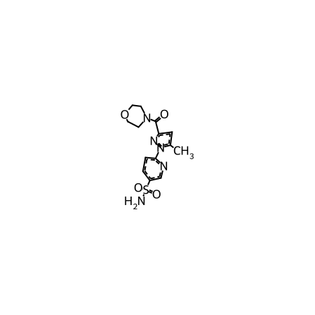 Cc1cc(C(=O)N2CCOCC2)nn1-c1ccc(S(N)(=O)=O)cn1